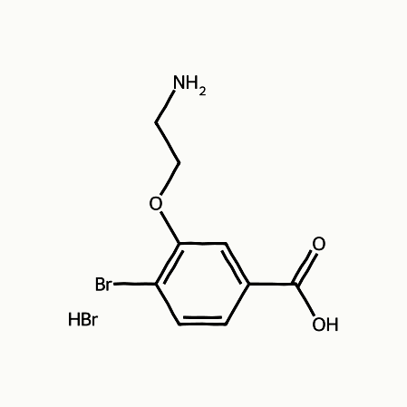 Br.NCCOc1cc(C(=O)O)ccc1Br